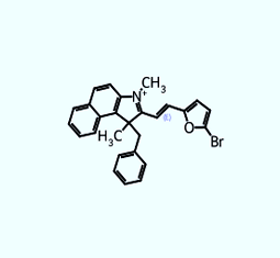 C[N+]1=C(/C=C/c2ccc(Br)o2)C(C)(Cc2ccccc2)c2c1ccc1ccccc21